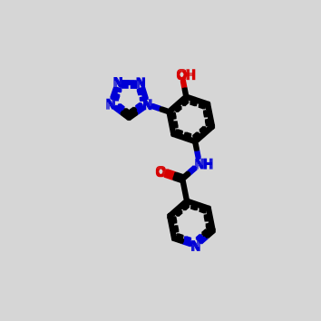 O=C(Nc1ccc(O)c(-n2cnnn2)c1)c1ccncc1